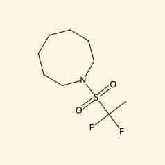 CC(F)(F)S(=O)(=O)N1CCCCCCC1